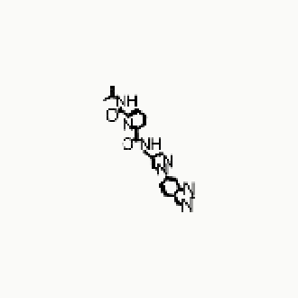 CC(C)NC(=O)c1cccc(C(=O)NCc2cnn(-c3ccc4cncnc4c3)c2)n1